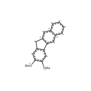 COc1cc2c(cc1OC)-c1cc3ccccc3cc1C2